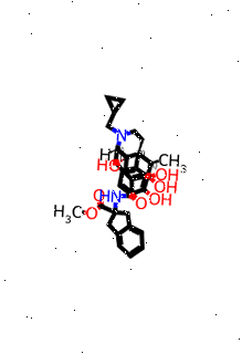 COC(=O)C1(NC(=O)C2=C(O)[C@H](C)[C@]34CCN(CC5CC5)[C@H](Cc5ccc(O)c(O)c53)[C@]4(O)C2)Cc2ccccc2C1